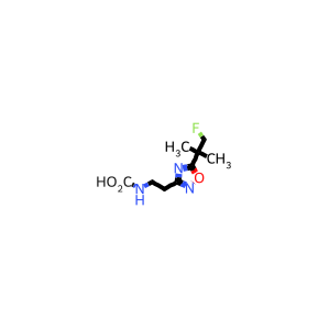 CC(C)(CF)c1nc(CCNC(=O)O)no1